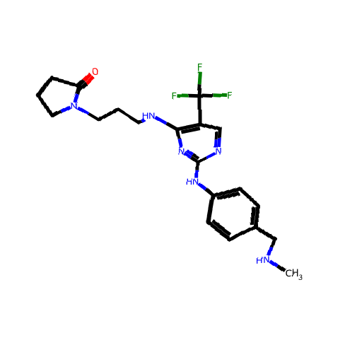 CNCc1ccc(Nc2ncc(C(F)(F)F)c(NCCCN3CCCC3=O)n2)cc1